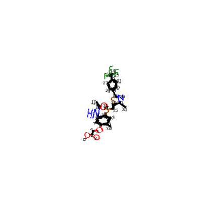 COC(=O)COc1cc(NC(C)=O)c(SCC2SC(c3ccc(C(F)(F)F)cc3)=NC2C)cc1C